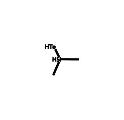 C[SiH](C)[TeH]